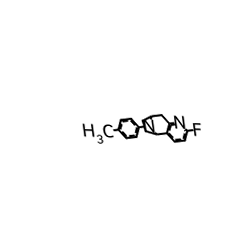 Cc1ccc(N2C3CCC2c2ccc(F)nc2C3)cc1